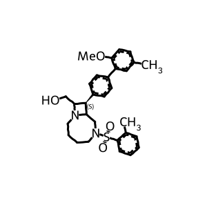 COc1ccc(C)cc1-c1ccc([C@@H]2C(CO)N3CCCCN(S(=O)(=O)c4ccccc4C)CC23)cc1